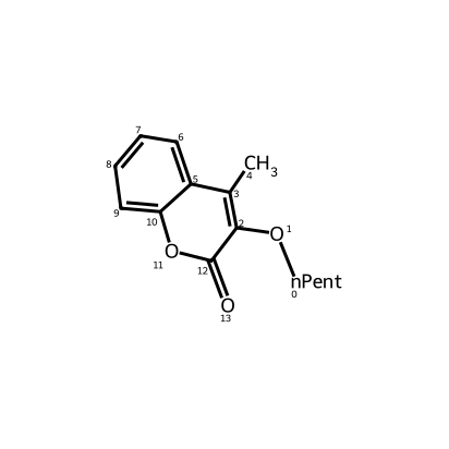 CCCCCOc1c(C)c2ccccc2oc1=O